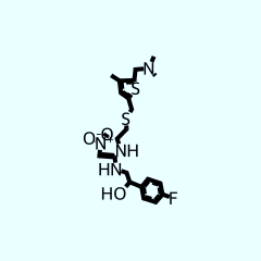 Cc1cc(CSCCNC(=C[N+](=O)[O-])NCC(O)c2ccc(F)cc2)sc1CN(C)C